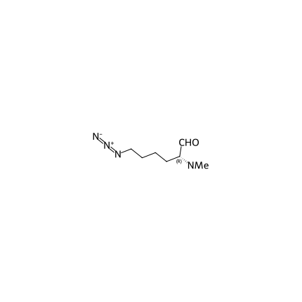 CN[C@@H](C=O)CCCCN=[N+]=[N-]